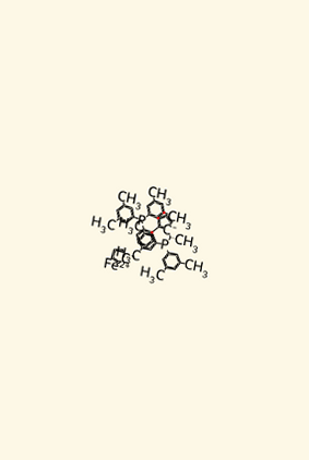 Cc1cc(C)cc(P(c2cc(C)cc(C)c2)c2ccccc2-c2ccc[c-]2[C@H](C)P(c2cc(C)cc(C)c2)c2cc(C)cc(C)c2)c1.[Fe+2].c1cc[cH-]c1